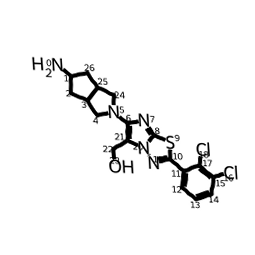 NC1CC2CN(c3nc4sc(-c5cccc(Cl)c5Cl)nn4c3CO)CC2C1